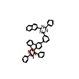 Cc1cccc(-c2ccc(-c3cccc(-c4nc(-c5ccccc5)nc(-c5ccc6ccccc6c5)n4)c3)cc2-c2ccccc2-c2nc(-c3ccccc3)nc(-c3ccccc3)n2)n1